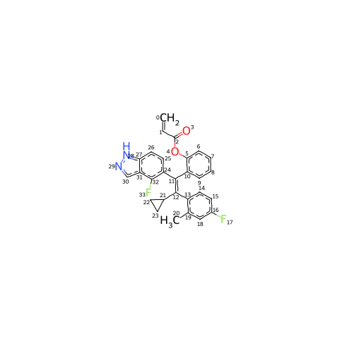 C=CC(=O)Oc1ccccc1/C(=C(\c1ccc(F)cc1C)C1CC1)c1ccc2[nH]ncc2c1F